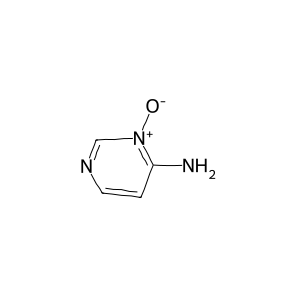 Nc1ccnc[n+]1[O-]